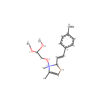 CCOC(CO[N+]1(C)C(C)=CSC1C=Cc1ccc(OC)cc1)OCC